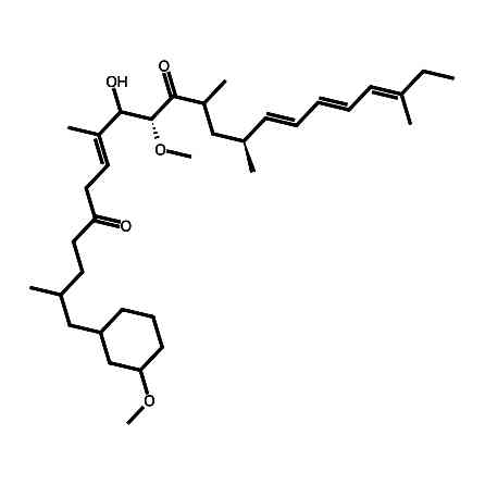 CC/C(C)=C/C=C/C=C/[C@@H](C)CC(C)C(=O)[C@H](OC)C(O)/C(C)=C/CC(=O)CCC(C)CC1CCCC(OC)C1